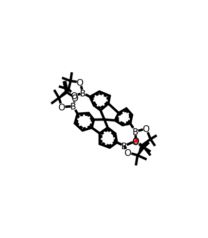 C=C1OB(c2ccc3c(c2)C2(c4cc(B5OC(C)(C)C(C)(C)O5)ccc4-3)c3cc(B4OC(C)(C)C(C)(C)O4)ccc3-c3ccc(B4OC(C)(C)C(C)(C)O4)cc32)OC1(C)C